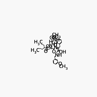 CCCC(CCC)S(=O)(=O)C[C@H](NC(=O)CNS(C)(=O)=O)C(=O)N[C@@H](Cc1ccccc1)[C@H](O)CNCc1cccc(OC)c1